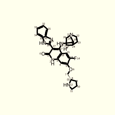 O=c1[nH]c2cc(OC[C@@H]3CCCN3)c(F)cc2c(N[C@H]2CN3CCC2CC3)c1-c1nc2ccccc2[nH]1